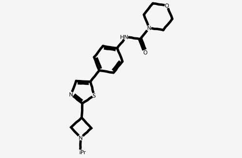 CC(C)N1CC(c2ncc(-c3ccc(NC(=O)N4CCOCC4)cc3)s2)C1